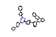 c1ccc(-c2ccc(-c3nc(-c4ccc(-c5ccccc5)cc4)nc(-c4ccc(-c5cccc(-c6nc7ccccc7c7cc8ccccc8cc67)c5)cc4)n3)cc2)cc1